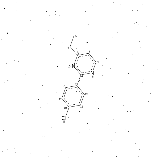 CCc1c[c]nc(-c2ccc(Cl)cc2)n1